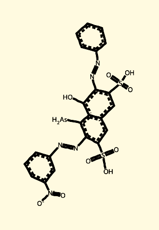 O=[N+]([O-])c1cccc(N=Nc2c(S(=O)(=O)O)cc3cc(S(=O)(=O)O)c(N=Nc4ccccc4)c(O)c3c2[AsH2])c1